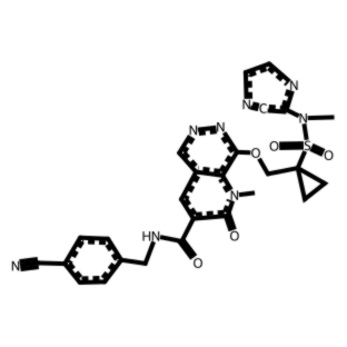 CN(c1cnccn1)S(=O)(=O)C1(COc2nncc3cc(C(=O)NCc4ccc(C#N)cc4)c(=O)n(C)c23)CC1